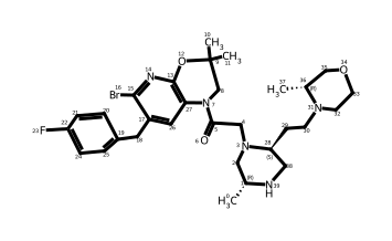 C[C@@H]1CN(CC(=O)N2CC(C)(C)Oc3nc(Br)c(Cc4ccc(F)cc4)cc32)[C@@H](CCN2CCOC[C@H]2C)CN1